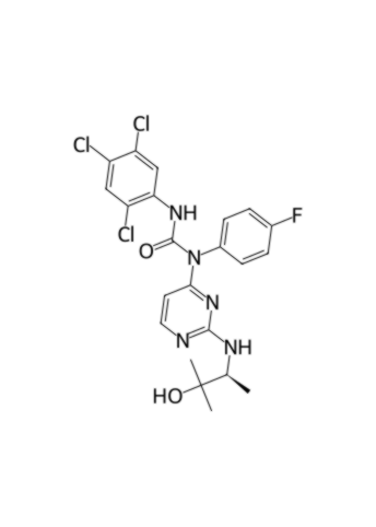 C[C@H](Nc1nccc(N(C(=O)Nc2cc(Cl)c(Cl)cc2Cl)c2ccc(F)cc2)n1)C(C)(C)O